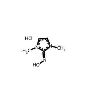 Cl.Cn1ccn(C)c1=NO